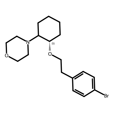 Brc1ccc(CCO[C@H]2CCCCC2N2CCOCC2)cc1